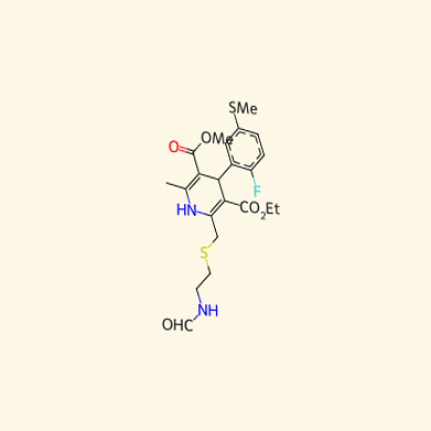 CCOC(=O)C1=C(CSCCNC=O)NC(C)=C(C(=O)OC)C1c1cc(SC)ccc1F